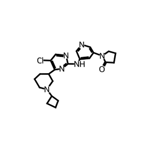 O=C1CCCN1c1cncc(Nc2ncc(Cl)c(C3CCCN(C4CCC4)C3)n2)c1